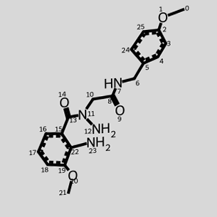 COc1ccc(CNC(=O)CN(N)C(=O)c2cccc(OC)c2N)cc1